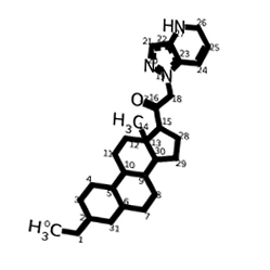 CCC1CCC2C(CCC3C2CCC2(C)C(C(=O)Cn4ncc5c4C=CCN5)CCC32)C1